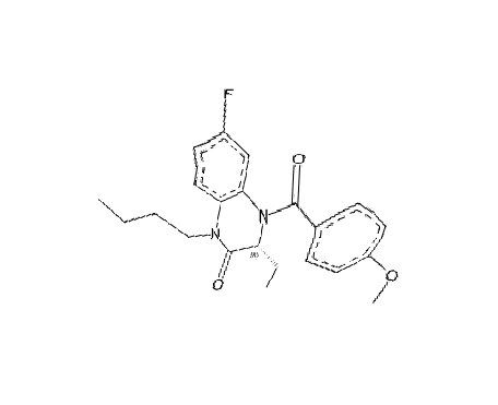 CCCCN1C(=O)[C@@H](CC)N(C(=O)c2ccc(OC)cc2)c2cc(F)ccc21